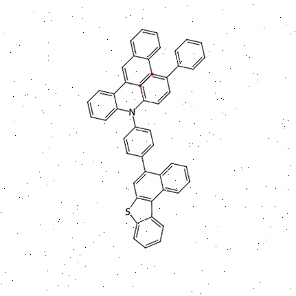 c1ccc(-c2ccc(N(c3ccc(-c4cc5sc6ccccc6c5c5ccccc45)cc3)c3ccccc3-c3ccc4ccccc4c3)cc2)cc1